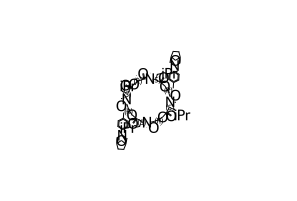 CC(C)C[C@H]1C(=O)O[C@H](Cc2ccc(N3CC4CCC(C3)O4)cc2)C(=O)N(C)[C@@H](CC(C)C)C(=O)O[C@H](C)C(=O)N(C)[C@@H](CC(C)C)C(=O)O[C@H](Cc2ccc(N3CC4CCC(C3)O4)cc2)C(=O)N(C)[C@@H](CC(C)C)C(=O)O[C@H](C)C(=O)N1C